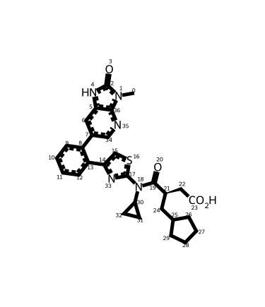 Cn1c(=O)[nH]c2cc(-c3ccccc3-c3csc(N(C(=O)[C@@H](CC(=O)O)CC4CCCC4)C4CC4)n3)cnc21